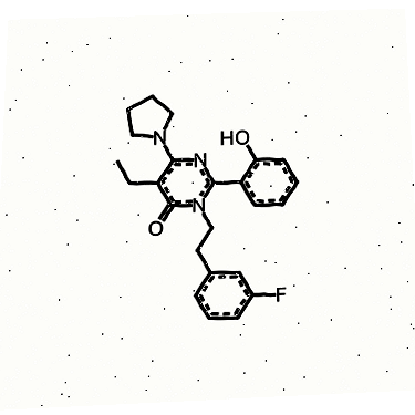 CCc1c(N2CCCC2)nc(-c2ccccc2O)n(CCc2cccc(F)c2)c1=O